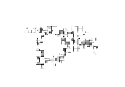 C=C[C@@H]1C[C@]1(NC(=O)[C@@H]1C[C@@H]2CN1C(=O)[C@H](C(C)(C)C)NC(=O)[C@@H](NC(C)=O)COC/C=C/c1cccc3c1CN(C3)C(=O)O2)C(=O)NS(=O)(=O)C1CC1